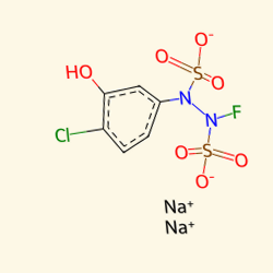 O=S(=O)([O-])N(F)N(c1ccc(Cl)c(O)c1)S(=O)(=O)[O-].[Na+].[Na+]